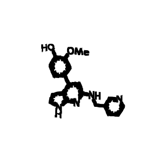 COc1cc(-c2cc(NCc3cccnc3)nc3[nH]ccc23)ccc1O